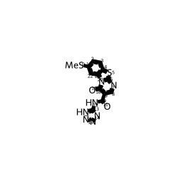 CSc1ccc2sc3ncc(C(=O)Nc4nnn[nH]4)c(=O)n3c2c1